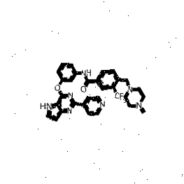 CN1CCN(Cc2ccc(C(=O)Nc3cccc(Oc4nc(-c5ccncc5)nc5cc[nH]c45)c3)cc2C(F)(F)F)CC1